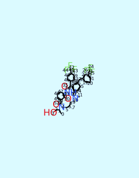 CC(CO)N1C[C@@H](C)[C@@H](CN(C)Cc2ccc(Cc3cccc(C(F)(F)F)c3)cc2)Oc2c(NC(=O)Cc3ccc(C(F)(F)F)cc3)cccc2C1=O